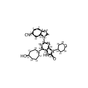 [C-]#[N+]c1ccc2ncn(-c3nc(N4CCCC(O)CC4)c4[nH]c(=O)n(C5CCOCC5)c4n3)c2c1